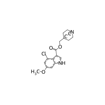 COc1cc(Cl)c2c(C(=O)OCC34CCN(CC3)CC4)c[nH]c2c1